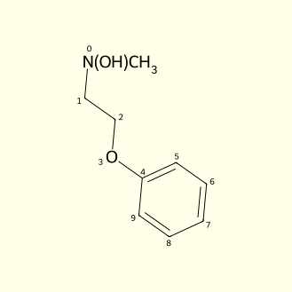 CN(O)CCOc1ccccc1